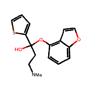 CNCCC(O)(Oc1cccc2occc12)c1cccs1